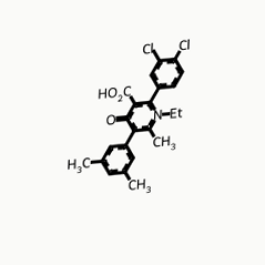 CCn1c(C)c(-c2cc(C)cc(C)c2)c(=O)c(C(=O)O)c1-c1ccc(Cl)c(Cl)c1